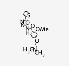 COc1cc(OCCN(C)C)ccc1C(=O)Nc1nnc(-c2cccs2)o1